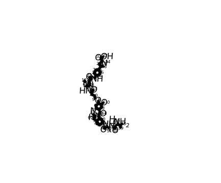 COc1cc2c(cc1OCCCC(=O)Nc1cn(C)c(C(=O)Nc3ccc(-c4cc(C(=O)O)n(C)c4)cc3)n1)N=C[C@@H]1Cc3ccc(NC(=O)[C@H](C)NC(=O)[C@@H](N)C(C)C)cc3N1C2=O